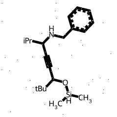 CC(C)C(C#CC(O[SiH](C)C)C(C)(C)C)NCc1ccccc1